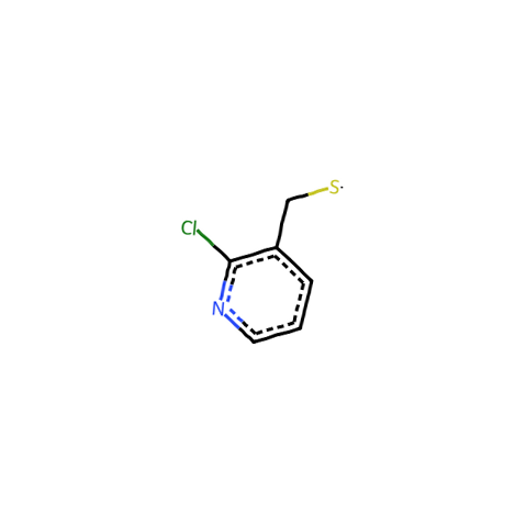 [S]Cc1cccnc1Cl